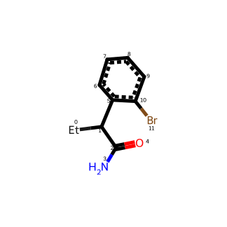 CCC(C(N)=O)c1ccccc1Br